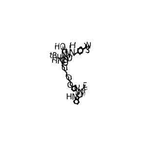 Cc1ncsc1-c1ccc(CNC(=O)[C@@H]2C[C@@H](O)CN2C(=O)C(NC(=O)COCCCOCCOc2ccc([C@@H]3c4[nH]c5ccccc5c4C[C@@H](C)N3CC(F)F)nc2)C(C)(C)C)cc1